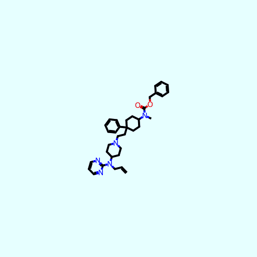 C=CCN(c1ncccn1)C1CCN(CCC2(c3ccccc3)CCC(N(C)C(=O)OCc3ccccc3)CC2)CC1